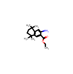 CCOC(=O)c1cc2c(cc1N)C(C)(C)CCC2(C)C